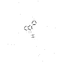 CC(C)(O)C(C)(C)OBc1c(Cl)c2c3ccccc3oc2c2ccccc12